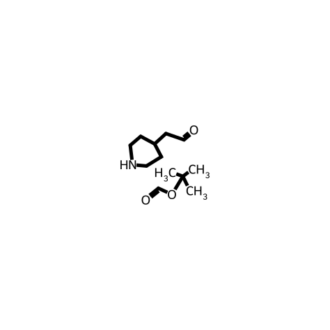 CC(C)(C)OC=O.O=CCC1CCNCC1